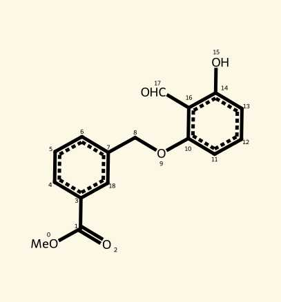 COC(=O)c1cccc(COc2cccc(O)c2C=O)c1